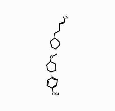 CCCCc1ccc([C@H]2CC[C@H](OC[C@H]3CC[C@H](CCC=CC#N)CC3)CC2)cc1